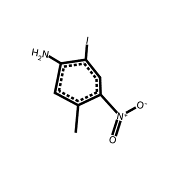 Cc1cc(N)c(I)cc1[N+](=O)[O-]